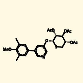 COc1c(C)cc(-c2cncc(O[C@H]3SC[C@@H](OC(C)=O)[C@H](OC(C)=O)[C@H]3OC(C)=O)c2)cc1C